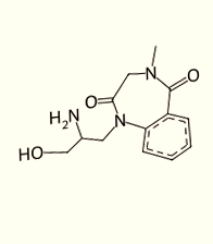 CN1CC(=O)N(CC(N)CO)c2ccccc2C1=O